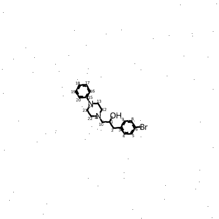 OC(Cc1ccc(Br)cc1)CN1CCN(c2ccccc2)CC1